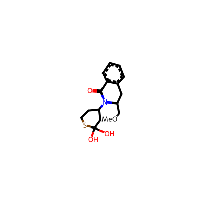 COCC1Cc2ccccc2C(=O)N1C1CCSC(O)(O)C1